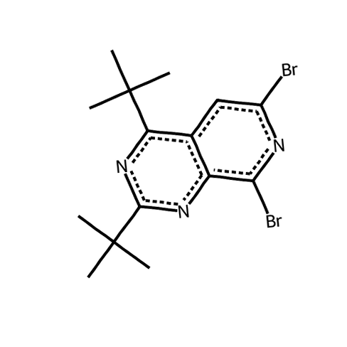 CC(C)(C)c1nc(C(C)(C)C)c2cc(Br)nc(Br)c2n1